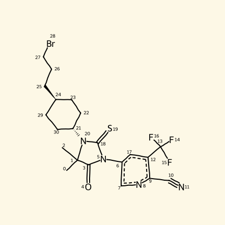 CC1(C)C(=O)N(c2cnc(C#N)c(C(F)(F)F)c2)C(=S)N1[C@H]1CC[C@H](CCCBr)CC1